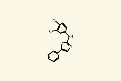 Clc1ccc(Nc2ncc(-c3ccccc3)o2)cc1Cl